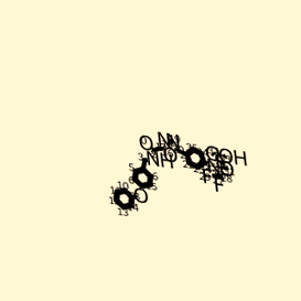 O=C(NCc1ccc(Oc2ccccc2)cc1)c1nnc(-c2ccc(N(C(F)(F)F)S(=O)(=O)O)cc2)o1